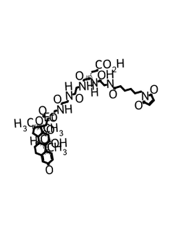 CCC(=O)O[C@]1(C(=O)COCNC(=O)CNC(=O)CNC(=O)[C@H](CCC(=O)O)NC(=O)CNC(=O)CCCCCN2C(=O)C=CC2=O)[C@@H](C)CC2[C@@H]3CCC4=CC(=O)C=C[C@]4(C)[C@@]3(Cl)[C@@H](O)C[C@@]21C